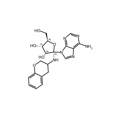 Nc1ncnc2c1ncn2[C@]1(NC2COc3ccccc3C2)O[C@H](CO)[C@@H](O)[C@H]1O